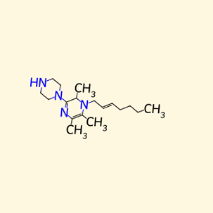 CCCCC=CCN1C(C)=C(C)N=C(N2CCNCC2)C1C